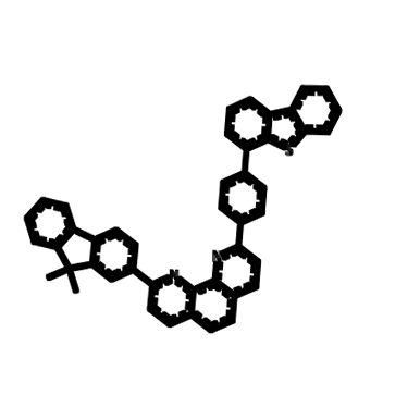 CC1(C)c2ccccc2-c2ccc(-c3ccc4ccc5ccc(-c6ccc(-c7cccc8c7sc7ccccc78)cc6)nc5c4n3)cc21